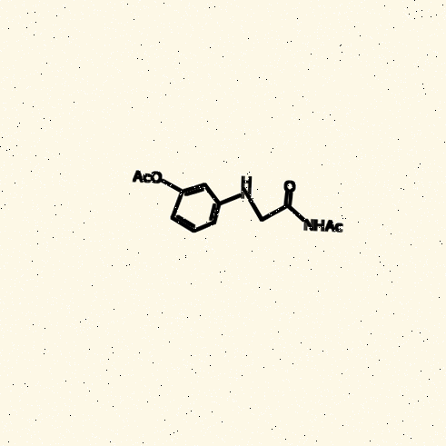 CC(=O)NC(=O)CNc1cccc(OC(C)=O)c1